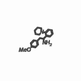 COc1ccc(CC(N)c2ccccc2N2CCCCC2)cc1